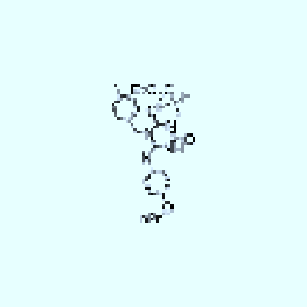 CCCOc1ccc(/N=c2\[nH]c(=O)n(CC(F)(F)C(=O)OCC)c(=O)n2Cc2ccc(C)cc2)cc1